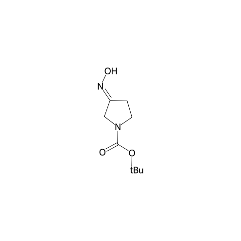 CC(C)(C)OC(=O)N1CCC(=NO)C1